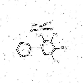 Cc1cc(-c2ccccc2)c(C)c(C)c1C.N=C=O.N=C=O